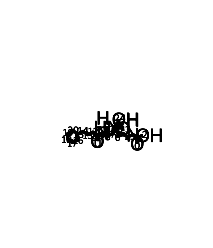 O=C(O)NCCC[C@@H](CNC(=O)CCCc1ccccc1)NC(=O)O